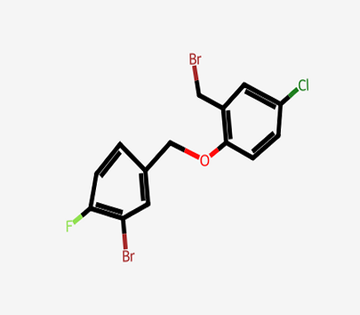 Fc1ccc(COc2ccc(Cl)cc2CBr)cc1Br